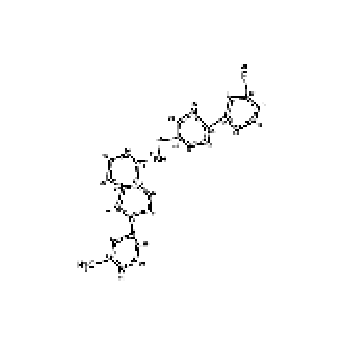 Cc1cc(-c2ccc3c(NCc4ccc(-c5cccc(F)c5)nc4)cccc3n2)ccn1